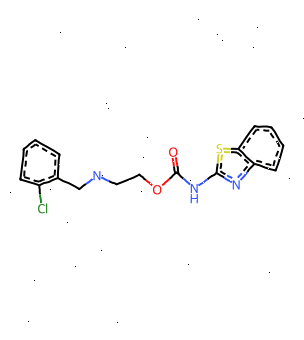 O=C(Nc1nc2ccccc2s1)OCC[N]Cc1ccccc1Cl